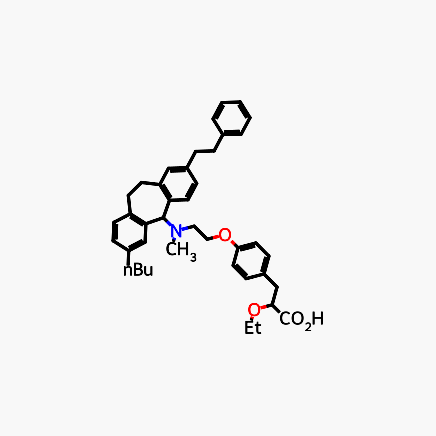 CCCCc1ccc2c(c1)C(N(C)CCOc1ccc(CC(OCC)C(=O)O)cc1)c1ccc(CCc3ccccc3)cc1CC2